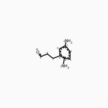 Nc1ccc(N)c(CCC=O)c1